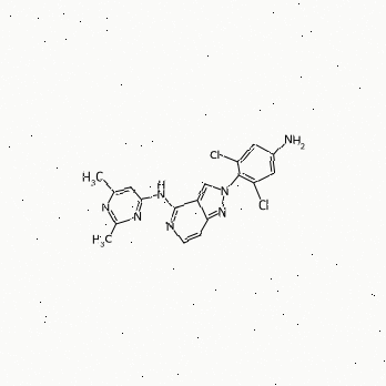 Cc1cc(Nc2nccc3nn(-c4c(Cl)cc(N)cc4Cl)cc23)nc(C)n1